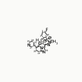 Cc1ccc(F)cc1S(=O)(=O)N(C)N=Cc1cnc2ccc(-c3cccnc3)c(C)n12